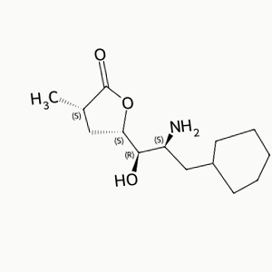 C[C@H]1C[C@@H]([C@H](O)[C@@H](N)CC2CCCCC2)OC1=O